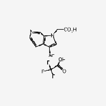 CC(=O)c1cn(CC(=O)O)c2cnccc12.O=C(O)C(F)(F)F